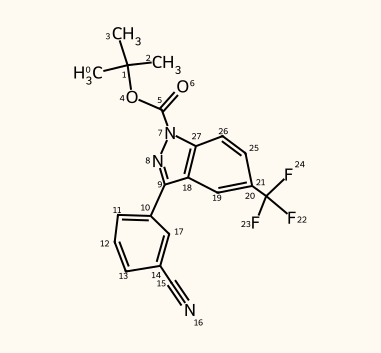 CC(C)(C)OC(=O)n1nc(-c2cccc(C#N)c2)c2cc(C(F)(F)F)ccc21